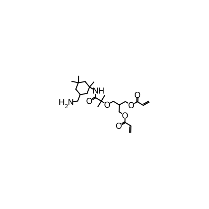 C=CC(=O)OCC(COC(=O)C=C)COC(C)(C)C(=O)NC1(C)CC(CN)CC(C)(C)C1